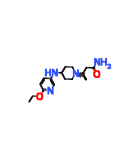 CCOc1ccc(NC2CCN([C@H](C)CC(N)=O)CC2)cn1